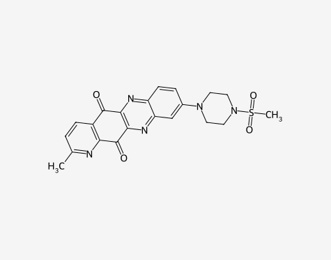 Cc1ccc2c(n1)C(=O)c1nc3cc(N4CCN(S(C)(=O)=O)CC4)ccc3nc1C2=O